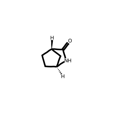 O=C1N[C@H]2CC[C@H]1C2